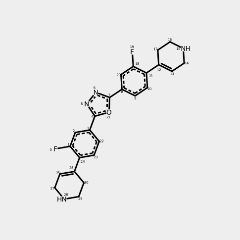 Fc1cc(-c2nnc(-c3ccc(C4=CCNCC4)c(F)c3)o2)ccc1C1=CCNCC1